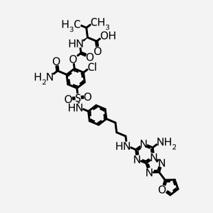 CC(C)[C@H](NC(=O)Oc1c(Cl)cc(S(=O)(=O)Nc2ccc(CCCNc3nc(N)n4nc(-c5ccco5)nc4n3)cc2)cc1C(N)=O)C(=O)O